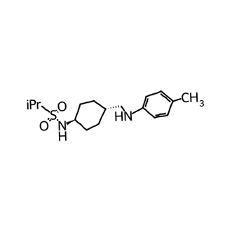 Cc1ccc(NC[C@H]2CC[C@H](NS(=O)(=O)C(C)C)CC2)cc1